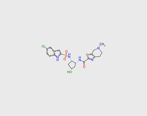 CN1CCc2nc(C(=O)N[C@@H]3CCC[C@@H]3NS(=O)(=O)c3cc4cc(Cl)ccc4[nH]3)sc2C1.Cl